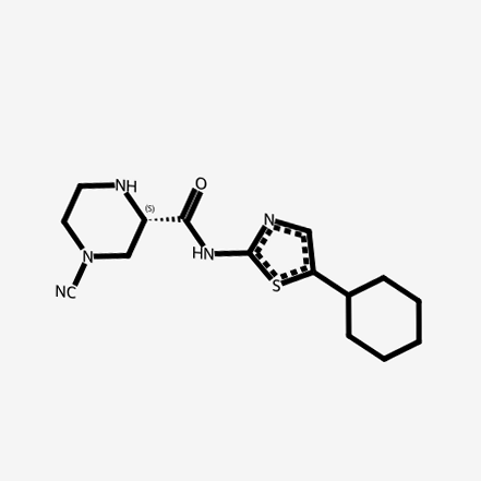 N#CN1CCN[C@H](C(=O)Nc2ncc(C3CCCCC3)s2)C1